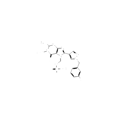 CCCN1C(=O)c2c(nc(-c3cnn(Cc4cccc(C(F)(F)F)c4)c3)n2COP(=O)(O)O)NC1C#N